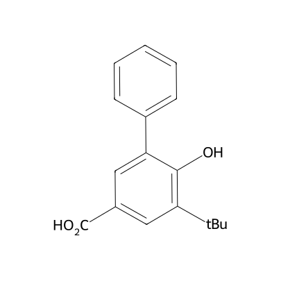 CC(C)(C)c1cc(C(=O)O)cc(-c2ccccc2)c1O